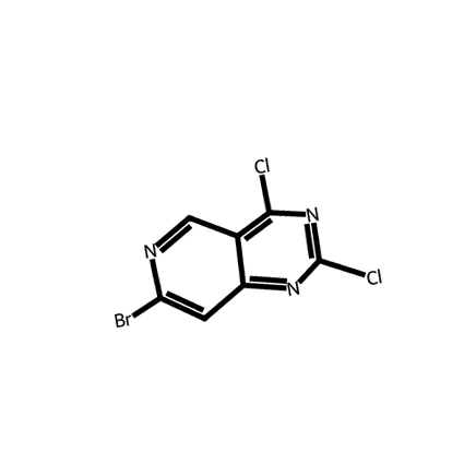 Clc1nc(Cl)c2cnc(Br)cc2n1